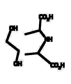 CC(NC(C)C(=O)O)C(=O)O.OCCO